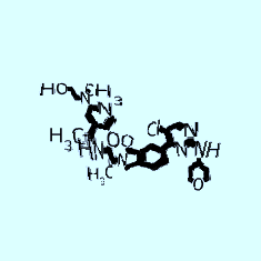 C[C@H](C(=O)N[C@H](C)c1ccnc(N(C)CCO)c1)N1Cc2ccc(-c3nc(NC4CCOCC4)ncc3Cl)cc2C1=O